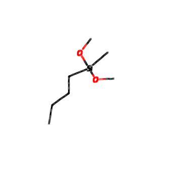 CCCC[Si](C)(OC)OC